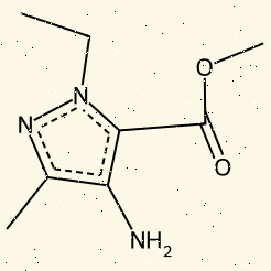 CCn1nc(C)c(N)c1C(=O)OC